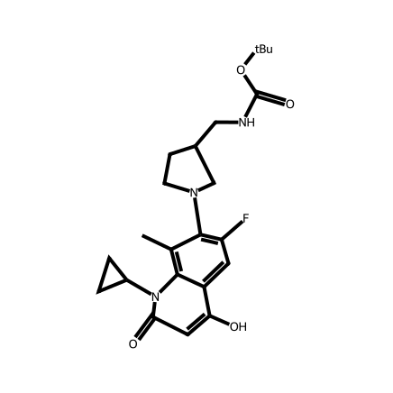 Cc1c(N2CCC(CNC(=O)OC(C)(C)C)C2)c(F)cc2c(O)cc(=O)n(C3CC3)c12